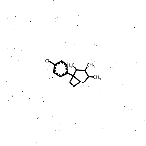 C[C](C(C)C(C)C)C1(c2ccc(Cl)cc2)CCC1